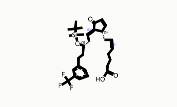 CC(C)(C)[Si](C)(C)O[C@H](C/C=C1/C(=O)C=C[C@@H]1C/C=C\CCCC(=O)O)CCc1cccc(C(F)(F)F)c1